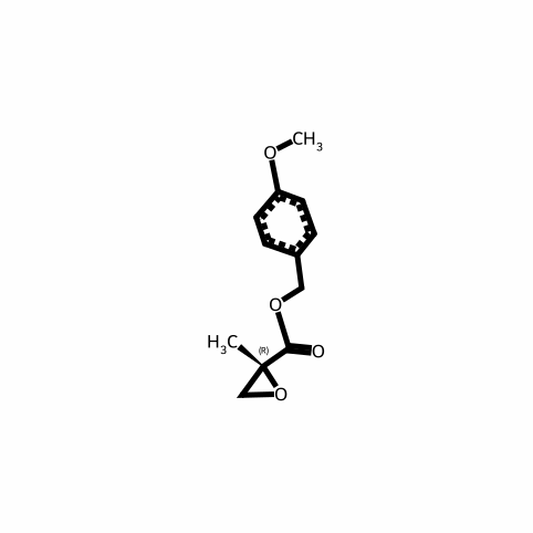 COc1ccc(COC(=O)[C@@]2(C)CO2)cc1